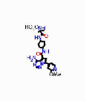 COc1cc(-c2cc(C(=O)NC3CCC(NC(=O)C(C)(C)NC(=O)O)CC3)c3c(N)ncnn23)ccn1